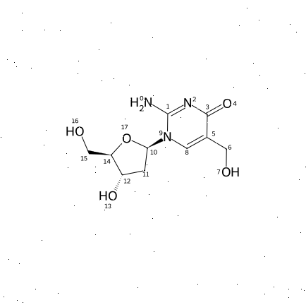 Nc1nc(=O)c(CO)cn1[C@H]1C[C@H](O)[C@@H](CO)O1